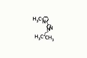 Cc1cccc(-c2cnn(CCC(C)C)c2)n1